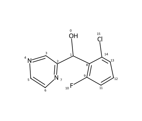 OC(c1cnccn1)c1c(F)cccc1Cl